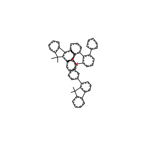 CC1(C)c2ccccc2-c2ccc(N(c3cccc(-c4cccc5c4C(C)(C)c4ccccc4-5)c3)c3cccc(-c4ccccc4)c3-c3ccccc3-c3ccccc3)cc21